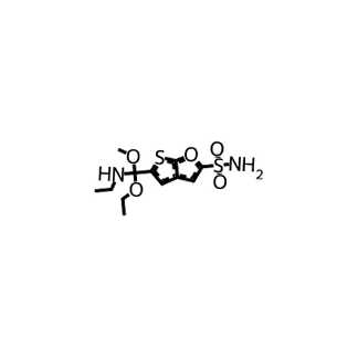 CCNC(OC)(OCC)c1cc2cc(S(N)(=O)=O)oc2s1